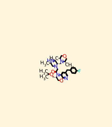 CC(C)OC[C@H]1COc2ncc(Cc3ccc(F)cc3)cc2N1C(=O)CN1C[C@@H](C)NC[C@@H]1CN1[C@H](C)COC[C@H]1C